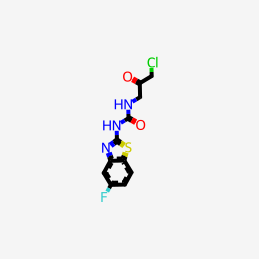 O=C(CCl)CNC(=O)Nc1nc2cc(F)ccc2s1